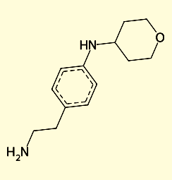 NCCc1ccc(NC2CCOCC2)cc1